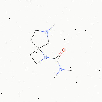 CN1CCC2(CCN2C(=O)N(C)C)C1